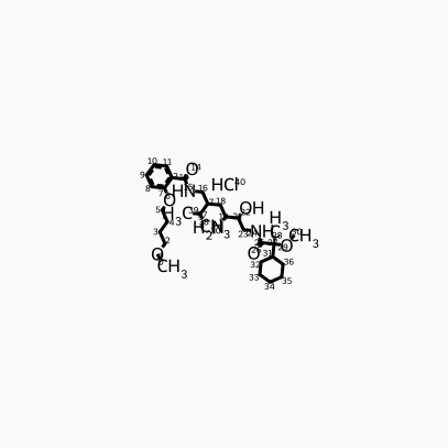 COCCCCOc1ccccc1C(=O)NCC(CC(N)C(O)CNC(=O)[C@](C)(OC)C1CCCCC1)C(C)C.Cl